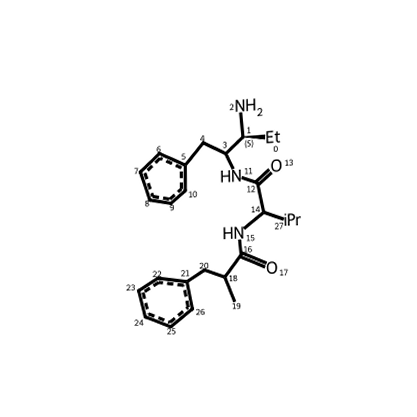 CC[C@H](N)C(Cc1ccccc1)NC(=O)C(NC(=O)C(C)Cc1ccccc1)C(C)C